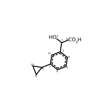 O=C(O)C(O)c1cccc(C2CC2)c1